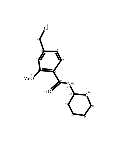 COc1cc(CCl)ccc1C(=O)NC1CCCCO1